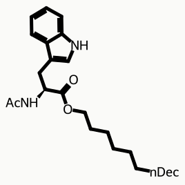 CCCCCCCCCCCCCCCCOC(=O)[C@H](Cc1c[nH]c2ccccc12)NC(C)=O